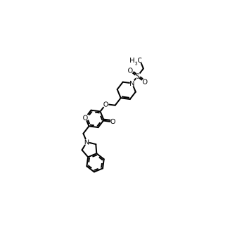 CCS(=O)(=O)N1CC=C(COc2coc(CN3Cc4ccccc4C3)cc2=O)CC1